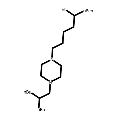 CCCCCC(CC)CCCCN1CCN(CC(CCCC)CCCC)CC1